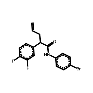 C=CCC(C(=O)Nc1ccc(Br)cc1)c1ccc(F)c(F)c1